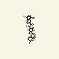 COc1ccc(Br)c2c1OCC(C(=O)Nc1ccc3c(c1)CN(C1CCC(=O)NC1=O)C3=O)=C2